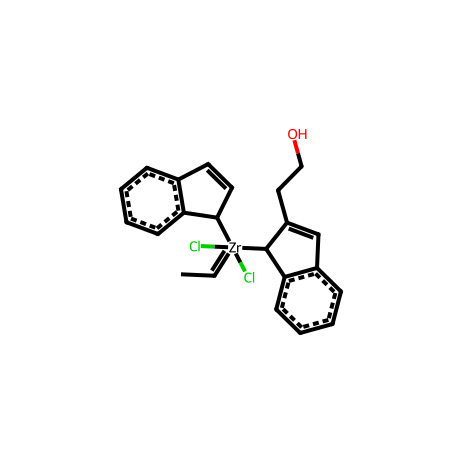 C[CH]=[Zr]([Cl])([Cl])([CH]1C=Cc2ccccc21)[CH]1C(CCO)=Cc2ccccc21